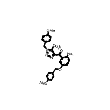 COc1ccc(COc2ccc(N)c(C(=O)c3nnn(Cc4ccc(OC)cc4)c3C(=O)O)c2)cc1